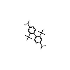 CN(C)c1ccc(-c2ccc(N(C)C)cc2C(C)(C)C)c(C(C)(C)C)c1